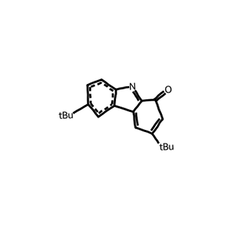 CC(C)(C)C1=CC(=O)C2=Nc3ccc(C(C)(C)C)cc3C2=C1